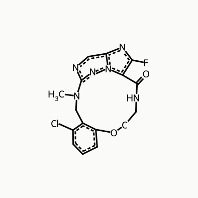 CN1Cc2c(Cl)cccc2OCCNC(=O)c2c(F)nc3cnc1nn23